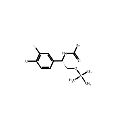 CCC(=O)N[C@H](CO[Si](C)(C)C(C)(C)C)c1ccc(Cl)c(F)c1